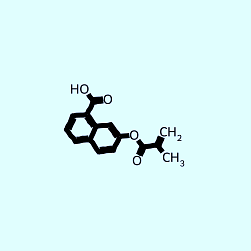 C=C(C)C(=O)Oc1ccc2cccc(C(=O)O)c2c1